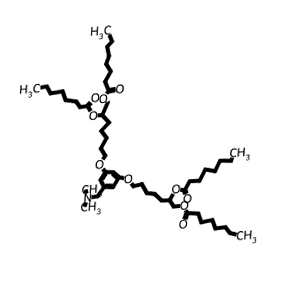 CCCCCCCC(=O)OCC(CCCCCOc1cc(CN(C)C)cc(OCCCCCC(COC(=O)CCCCCCC)OC(=O)CCCCCCC)c1)OC(=O)CCCCCCC